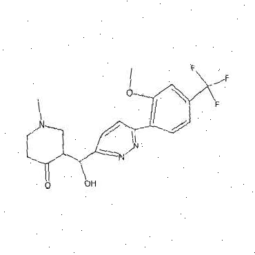 COc1cc(C(F)(F)F)ccc1-c1ccc(C(O)C2CN(C)CCC2=O)nn1